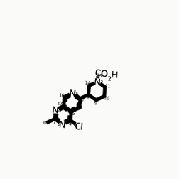 Cc1nc(Cl)c2cc(C3CCCN(C(=O)O)C3)ncc2n1